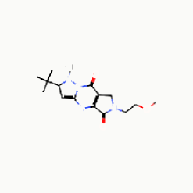 [2H]N1C(C(C)(C)C)C=C2NC3=C(CN(CCOC)C3=O)C(=O)N21